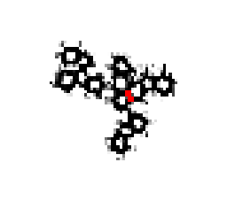 CC1(C)c2ccccc2-c2cccc(-c3ccccc3N(c3ccc(-c4cccc5c4sc4ccccc45)cc3)c3ccc4c(c3)C3(CCc5ccccc53)c3ccccc3-4)c21